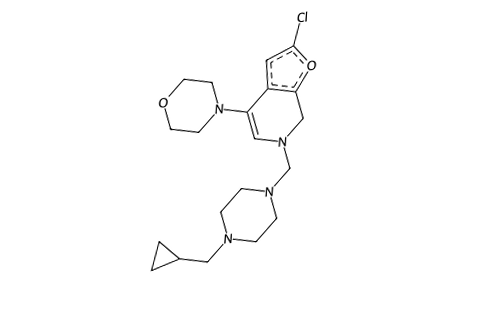 Clc1cc2c(o1)CN(CN1CCN(CC3CC3)CC1)C=C2N1CCOCC1